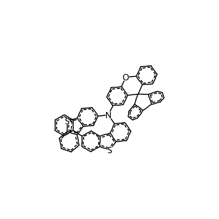 c1ccc(-c2ccc3sc4cccc(N(c5ccc6c(c5)C5(c7ccccc7O6)c6ccccc6-c6ccccc65)c5ccc6sc7ccccc7c6c5)c4c3c2)cc1